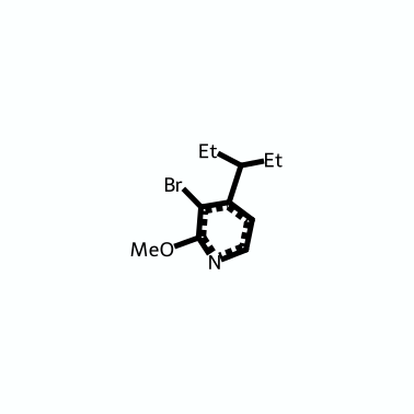 CCC(CC)c1ccnc(OC)c1Br